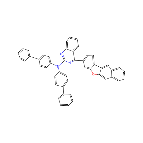 c1ccc(-c2ccc(N(c3ccc(-c4ccccc4)cc3)c3nc(-c4ccc5c(c4)oc4cc6ccccc6cc45)c4ccccc4n3)cc2)cc1